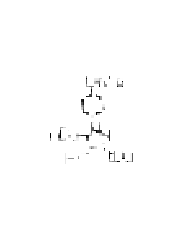 CCCCc1c(O)c(C(C)(C)C)nn1-c1ccc(OC)cc1